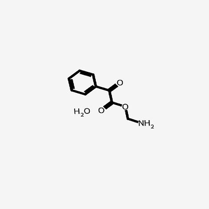 NCOC(=O)C(=O)c1ccccc1.O